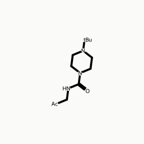 CC(=O)CNC(=O)N1CCN(C(C)(C)C)CC1